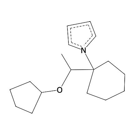 CC(OC1CCCC1)C1(n2cccc2)CCCCC1